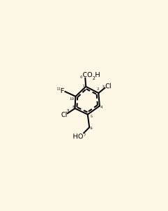 O=C(O)c1c(Cl)cc(CO)c(Cl)c1F